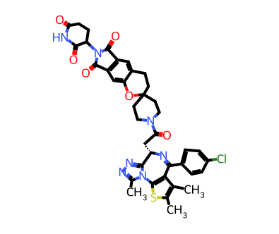 Cc1sc2c(c1C)C(c1ccc(Cl)cc1)=N[C@@H](CC(=O)N1CCC3(CCc4cc5c(cc4O3)C(=O)N(C3CCC(=O)NC3=O)C5=O)CC1)c1nnc(C)n1-2